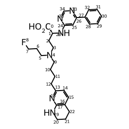 O=C(O)[C@H](CCN(CCCF)CCCCc1ccc2c(n1)NCCC2)Nc1cc(-c2ccccc2)ncn1